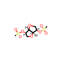 CS(=O)(=O)O[C@@H]1CO[C@H]2[C@@H]1OC[C@H]2OS(C)(=O)=O